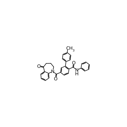 Cc1ccc(-c2cc(C(=O)N3CCCC(=O)c4ccccc43)ccc2C(=O)Nc2ccccc2)cc1